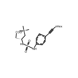 CCCCCCC#Cc1ccc(NS(=O)(=O)N[C@H](CC(=O)[O-])C[N+](C)(C)C)cc1